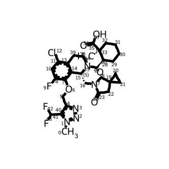 Cn1nnc(COc2c(F)cc(Cl)c3c2[C@@H](CN2CC4(CC4)CC2=O)N(C(=O)[C@@H]2CCCC[C@]2(C)C(=O)O)CC3)c1C(F)F